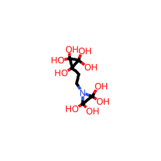 OC1(O)N(CCC2(O)C(O)(O)C2(O)O)C1(O)O